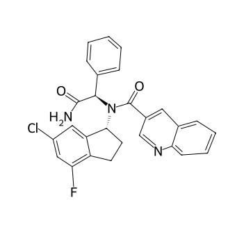 NC(=O)[C@@H](c1ccccc1)N(C(=O)c1cnc2ccccc2c1)[C@@H]1CCc2c(F)cc(Cl)cc21